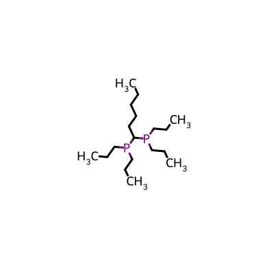 CCCCCC(P(CCC)CCC)P(CCC)CCC